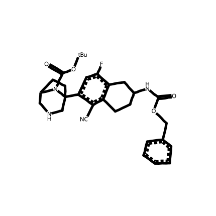 CC(C)(C)OC(=O)N1C2CCC1(c1cc(F)c3c(c1C#N)CCC(NC(=O)OCc1ccccc1)C3)CNC2